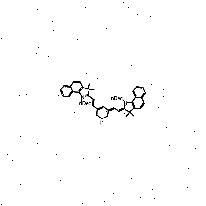 CCCCCCCCCCN1C(=CC=C2C=C(C=CC3=[N+](CCCCCCCCCC)c4c(ccc5ccccc45)C3(C)C)CCC2)C(C)(C)c2ccc3ccccc3c21.[I-]